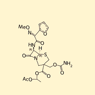 CON=C(C(=O)N[C@@H]1C(=O)N2CC(COC(N)=O)(C(=O)OC(C)OC(C)=O)CS[C@H]12)c1ccco1